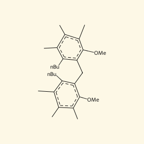 CCCCc1c(C)c(C)c(C)c(OC)c1Cc1c(CCCC)c(C)c(C)c(C)c1OC